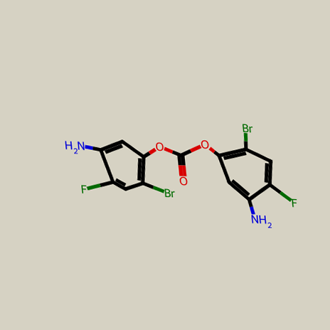 Nc1cc(OC(=O)Oc2cc(N)c(F)cc2Br)c(Br)cc1F